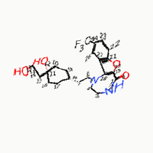 O=C1NCCN(CC[C@H]2CC[C@](O)(CCO)CC2)c2c1oc1ccc(C(F)(F)F)cc21